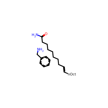 CCCCCCCCC=CCCCCCCCC(N)=O.NCc1ccccc1